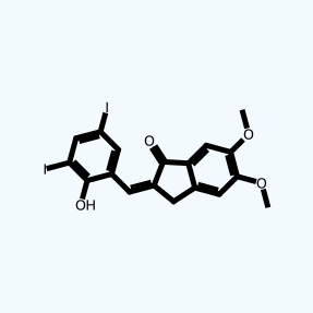 COc1cc2c(cc1OC)C(=O)C(=Cc1cc(I)cc(I)c1O)C2